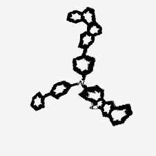 c1ccc(-c2ccc(N(c3ccc(-c4ccc5c(ccc6ccc7ccccc7c65)c4)cc3)c3ccc4c(c3)oc3cc5ccccc5cc34)cc2)cc1